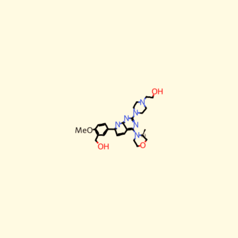 COc1ccc(-c2ccc3c(N4CCOC[C@@H]4C)nc(N4CCN(CCO)CC4)nc3n2)cc1CO